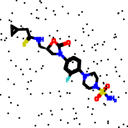 NS(=O)(=O)N1CCN(c2ccc(N3C[C@H](CNC(=S)CC4CC4)OC3=O)cc2F)CC1